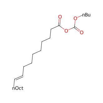 CCCCCCCCC=CCCCCCCCC(=O)OC(=O)OCCCC